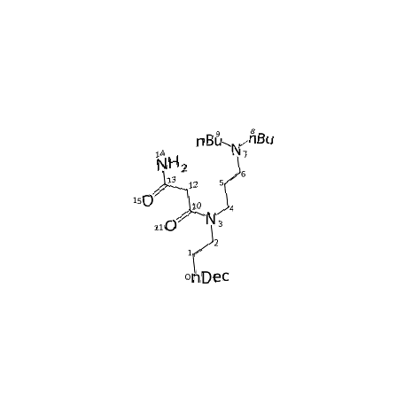 CCCCCCCCCCCCN(CCCN(CCCC)CCCC)C(=O)CC(N)=O